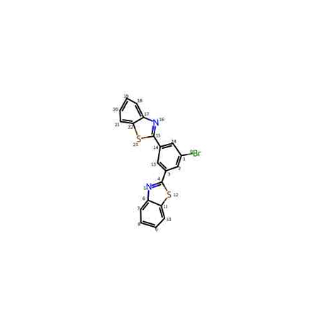 Brc1cc(-c2nc3ccccc3s2)cc(-c2nc3ccccc3s2)c1